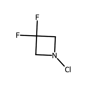 FC1(F)CN(Cl)C1